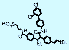 CCC(c1ccc(C(=O)NCCS(=O)(=O)O)cc1)C(C(=O)Nc1ccc(-c2ccc(Cl)cc2Cl)cc1)c1ccc(/C=C/C(C)(C)C)cc1